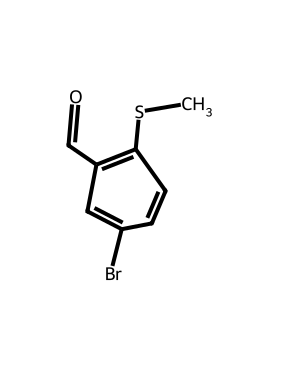 CSc1ccc(Br)cc1C=O